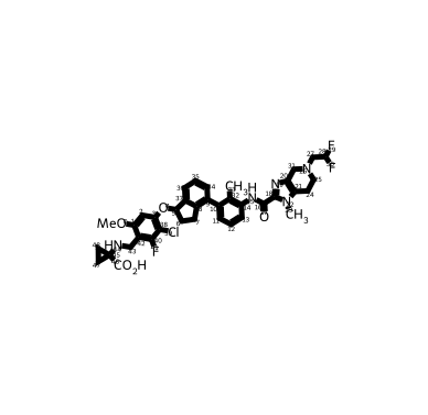 COc1cc(OC2CCc3c(-c4cccc(NC(=O)c5nc6c(n5C)CCN(CC(F)F)C6)c4C)cccc32)c(Cl)c(F)c1CNC1(C(=O)O)CC1